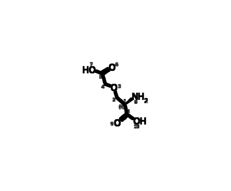 N[C@H](COCC(=O)O)C(=O)O